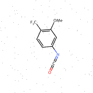 COc1cc(N=C=O)ccc1C(F)(F)F